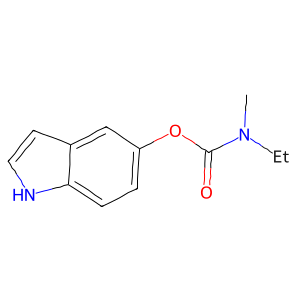 CCN(C)C(=O)Oc1ccc2[nH]ccc2c1